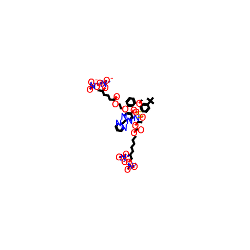 COc1ccccc1Oc1c(OCCOC(=O)CCCC(CO[N+](=O)[O-])O[N+](=O)[O-])nc(-c2ncccn2)nc1N(C(C)OC(=O)OCCCCCC(CO[N+](=O)[O-])O[N+](=O)[O-])S(=O)(=O)c1ccc(C(C)(C)C)cc1